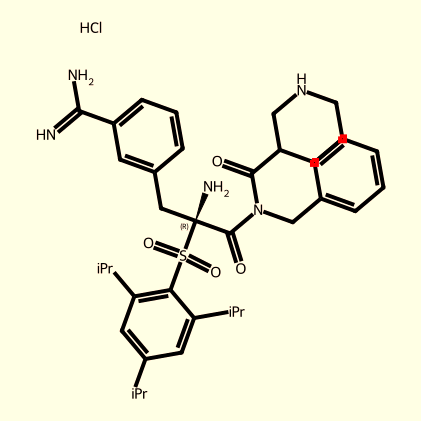 CC(C)c1cc(C(C)C)c(S(=O)(=O)[C@](N)(Cc2cccc(C(=N)N)c2)C(=O)N(Cc2ccccc2)C(=O)C2CCCNC2)c(C(C)C)c1.Cl